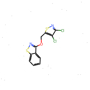 Clc1nsc(COc2nsc3ccccc23)c1Cl